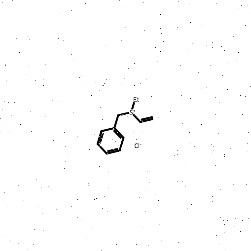 C=C[S+](CC)Cc1ccccc1.[Cl-]